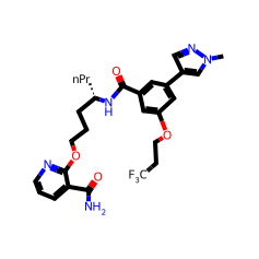 CCC[C@@H](CCCOc1ncccc1C(N)=O)NC(=O)c1cc(OCCC(F)(F)F)cc(-c2cnn(C)c2)c1